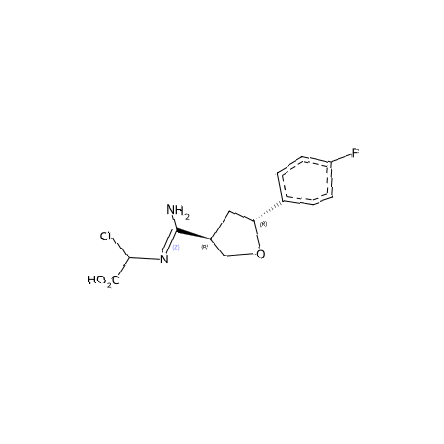 N/C(=N\C(Cl)C(=O)O)[C@@H]1CO[C@@H](c2ccc(F)cc2)C1